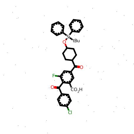 CC(C)(C)[Si](OC1CCC(C(=O)c2cc(F)c(C(=O)c3ccc(Cl)cc3)c(C(=O)O)c2)CC1)(c1ccccc1)c1ccccc1